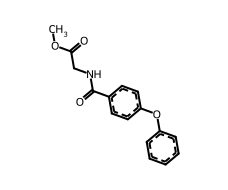 COC(=O)CNC(=O)c1ccc(Oc2ccccc2)cc1